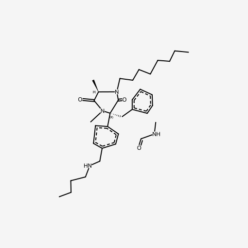 CCCCCCCCN1C(=O)[C@@](Cc2ccccc2)(c2ccc(CNCCCC)cc2)N(C)C(=O)[C@H]1C.CNC=O